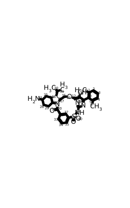 Cc1cccc(C)c1-c1nc2nc(c1C)OC[C@@H](CC(C)C)N(C1CCC(N)CC1)C(=O)c1cccc(c1)S(=O)(=O)N2